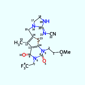 COCCn1c(=O)n(CC(F)(F)F)c(=O)c2c(C)c(CN3CCNC3=NC#N)sc21